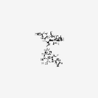 C[C@]12C[C@H](F)C3c4ccc(O)cc4C[C@@H](CCCCN(CC4CCCCC4)C(=O)Cc4ccc5ccccc5c4)C3C1CC[C@@H]2O